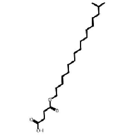 CC(C)CCCCCCCCCCCCCCCOC(=O)CCC(=O)O